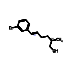 CCc1cccc(/C=C/CC[C@@H](C)CO)c1